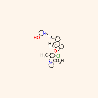 Cc1cc(OCc2cccc(-c3cccc(/C=C/CCN4CCCC(O)C4)c3C)c2C)c(Cl)cc1CN1CCCCC1C(=O)O